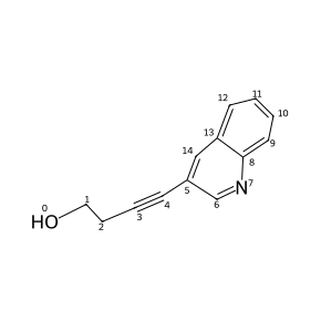 OCCC#Cc1cnc2ccccc2c1